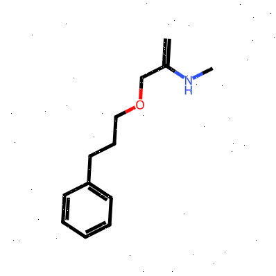 C=C(COCCCc1ccccc1)NC